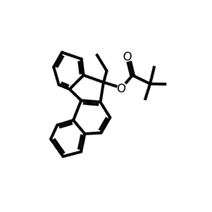 CCC1(OC(=O)C(C)(C)C)c2ccccc2-c2c1ccc1ccccc21